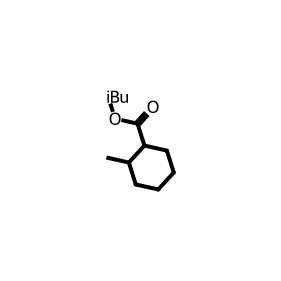 CCC(C)OC(=O)C1CCCCC1C